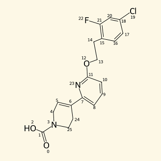 O=C(O)N1CC=C(c2cccc(OCCc3ccc(Cl)cc3F)n2)CC1